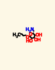 CCCCO[C@H]1O[C@H](CN)[C@@H](O)[C@H](O)[C@H]1O